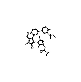 CCNc1cc(-c2ccc3ncc4c(c3c2)n(-c2c(C)nn(CC(=O)N(C)C)c2C)c(=O)n4C)cnc1C